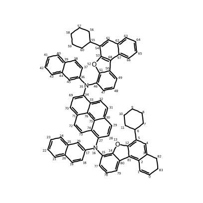 C1=Cc2c(cc(C3CCCCC3)c3oc4c(N(c5ccc6ccccc6c5)c5ccc6ccc7c(N(c8ccc9ccccc9c8)c8cccc9c8oc8c(C%10CCCCC%10)cc%10ccccc%10c89)ccc8ccc5c6c87)cccc4c23)CC1